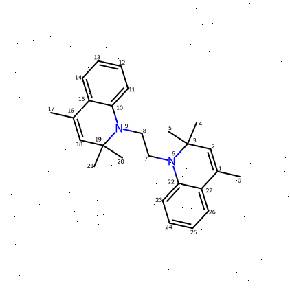 CC1=CC(C)(C)N(CCN2c3ccccc3C(C)=CC2(C)C)c2ccccc21